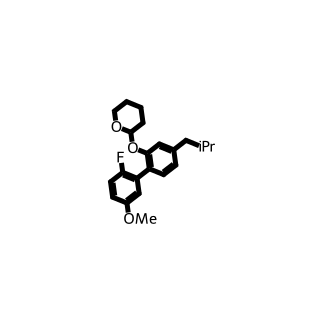 COc1ccc(F)c(-c2ccc(CC(C)C)cc2OC2CCCCO2)c1